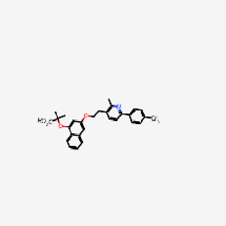 Cc1nc(-c2ccc(C(F)(F)F)cc2)ccc1CCOc1cc(OC(C)(C)C(=O)O)c2ccccc2c1